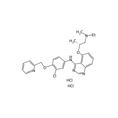 CCN(C)C[C@@H](C)Oc1cccc2ncnc(Nc3ccc(OCc4ccccn4)c(Cl)c3)c12.Cl.Cl